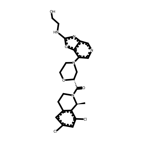 C[C@H]1c2c(Cl)cc(Cl)cc2CCN1C(=O)[C@H]1CN(c2cncc3nc(NCCO)oc23)CCO1